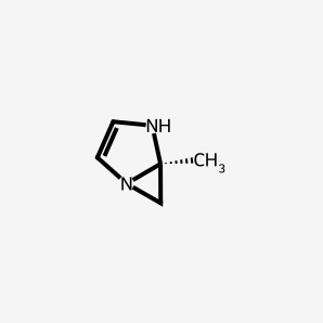 C[C@]12CN1C=CN2